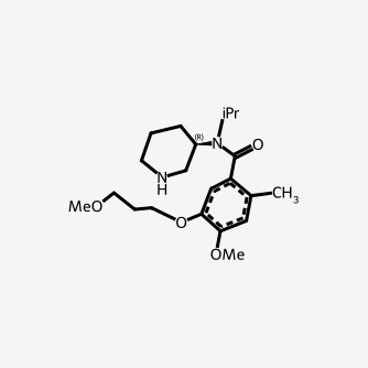 COCCCOc1cc(C(=O)N(C(C)C)[C@@H]2CCCNC2)c(C)cc1OC